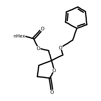 CCCCCCC(=O)OCC1(COCc2ccccc2)CCC(=O)O1